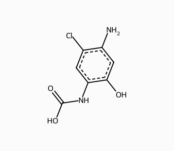 Nc1cc(O)c(NC(=O)O)cc1Cl